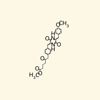 COC(=O)CCCC(=O)Cc1ccc(C=c2[nH]c(=O)c(=Cc3ccc(OC)cc3)[nH]c2=O)cc1